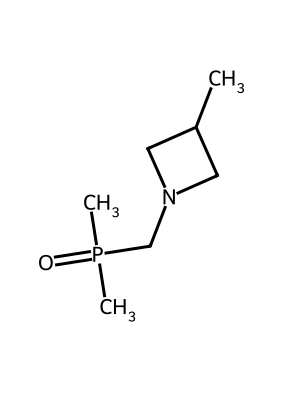 CC1CN(CP(C)(C)=O)C1